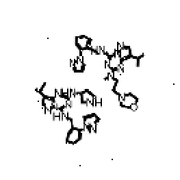 CC(C)c1cnn2c(NCc3ccccc3-n3cccn3)nc(N(C)CCN3CCOCC3)nc12.CC(C)c1cnn2c(NCc3ccccc3-n3cccn3)nc(NC3CCNC3)nc12